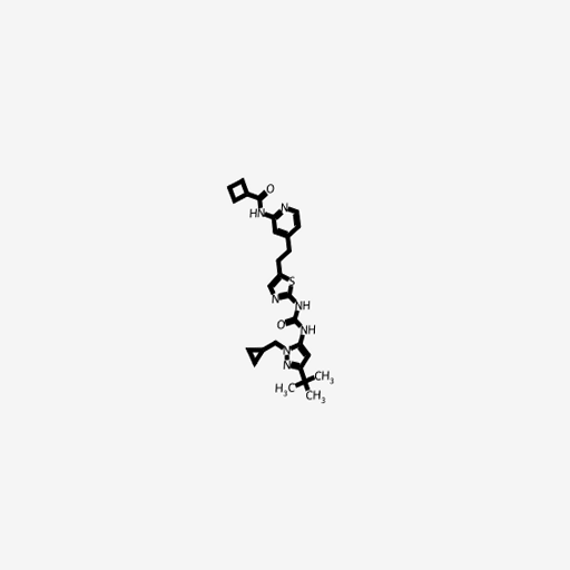 CC(C)(C)c1cc(NC(=O)Nc2ncc(CCc3ccnc(NC(=O)C4CCC4)c3)s2)n(CC2CC2)n1